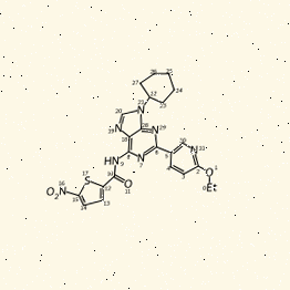 CCOc1ccc(-c2nc(NC(=O)c3ccc([N+](=O)[O-])s3)c3ncn(C4CCCCC4)c3n2)cn1